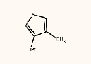 Cc1cscc1C(C)C